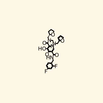 O=C(NCc1ccc(F)cc1F)c1cn2c(c(O)c1=O)C(=O)N(C[C@H]1CCCO1)CN2Cc1ccco1